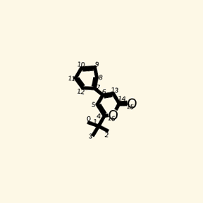 CC(C)(C)c1cc(-c2ccccc2)cc(=O)o1